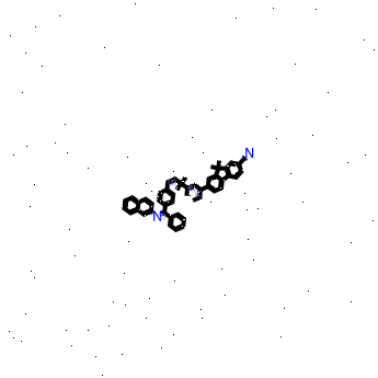 C/C=C(\C=C(/C)C(C)(C)/C=C\c1ccc(/C(=N\c2ccc3ccccc3c2)c2ccccc2)cc1)c1ccc2c(c1)C(C)(C)c1cc(C#N)ccc1-2